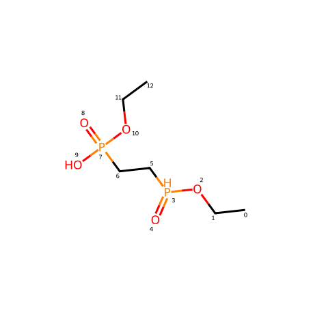 CCO[PH](=O)CCP(=O)(O)OCC